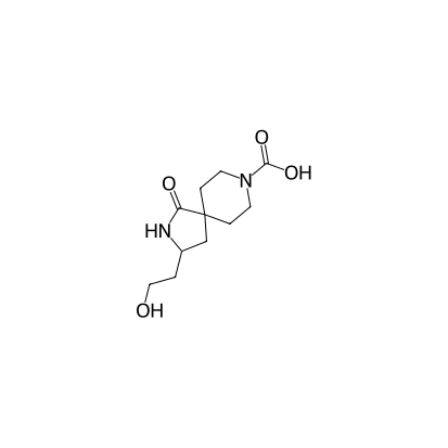 O=C(O)N1CCC2(CC1)CC(CCO)NC2=O